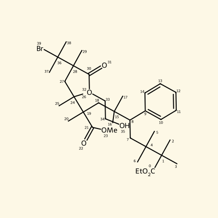 CCOC(=O)C(C)(C)C(C)(C)CC(c1ccccc1)C(C)(C)CC(C)(C(=O)OC)C(C)(C)CC(C)(C(=O)OCCO)C(C)(C)Br